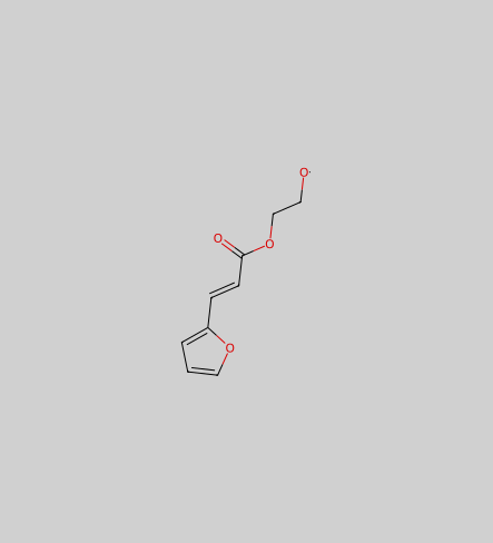 [O]CCOC(=O)C=Cc1ccco1